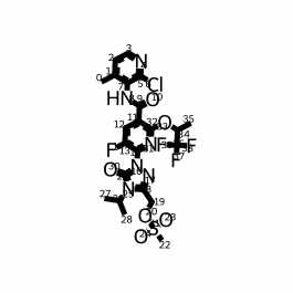 Cc1ccnc(Cl)c1NC(=O)c1cc(F)c(-n2nc(COS(C)(=O)=O)n(C(C)C)c2=O)nc1OC(C)C(F)(F)F